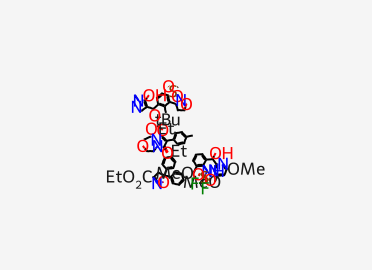 CCOC(=O)C1=NOC(c2ccccc2)(c2ccccc2)C1.CCc1cc(C)cc(CC)c1-c1c(OC(=O)C(C)(C)C)n2n(c1=O)CCOCC2.COCc1cccc(C(O)c2nc(OC)cc(OC)n2)c1NS(=O)(=O)C(F)F.Cc1c(C(=O)c2cnn(C)c2O)ccc(S(C)(=O)=O)c1C1=NOCC1